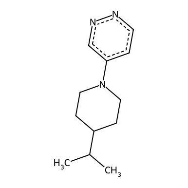 CC(C)C1CCN(c2ccnnc2)CC1